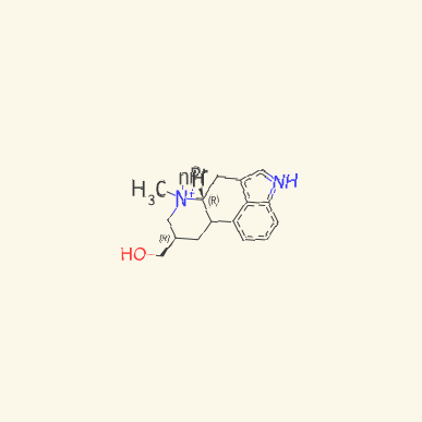 CCC[N+]1(C)C[C@H](CO)CC2c3cccc4[nH]cc(c34)C[C@H]21